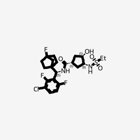 CCS(=O)(=O)N[C@@H]1C[C@H](C(=O)N[C@H](c2c(F)ccc(Cl)c2F)C23CCC(F)(CC2)C3)C[C@@H]1O